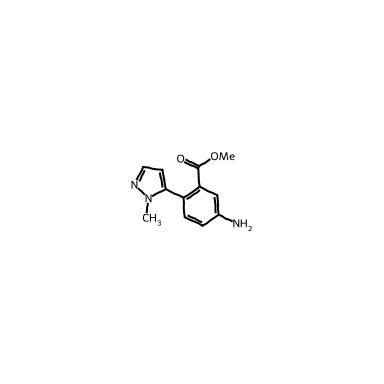 COC(=O)c1cc(N)ccc1-c1ccnn1C